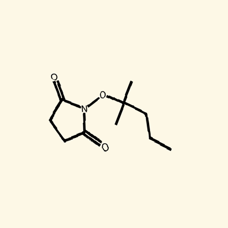 CCCC(C)(C)ON1C(=O)CCC1=O